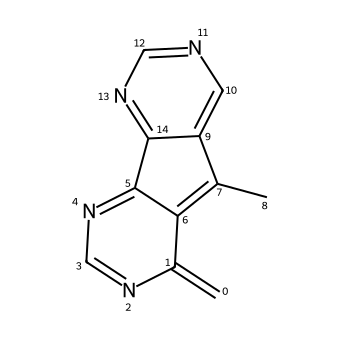 C=c1ncnc2c1=C(C)c1cncnc1-2